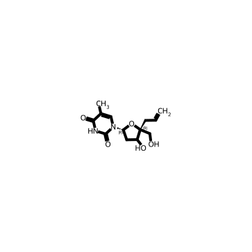 C=CC[C@]1(CO)O[C@@H](n2cc(C)c(=O)[nH]c2=O)CC1O